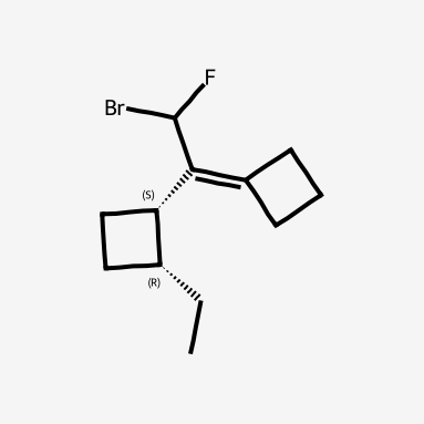 CC[C@@H]1CC[C@@H]1C(=C1CCC1)C(F)Br